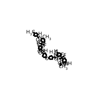 CC(=O)Nc1cc(C(c2ccc(C)c(NC(=O)c3ccc(Oc4ccc(C(=O)Nc5cc(C(c6ccc(C)c(NC(=O)c7ccc(C)cc7)c6)(C(F)(F)F)C(F)(F)F)ccc5O)cc4)cc3)c2)(C(F)(F)F)C(F)(F)F)ccc1O